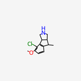 COc1ccc2c(c1Cl)C1CNCC1C2C